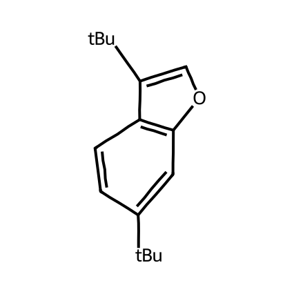 CC(C)(C)c1ccc2c(C(C)(C)C)coc2c1